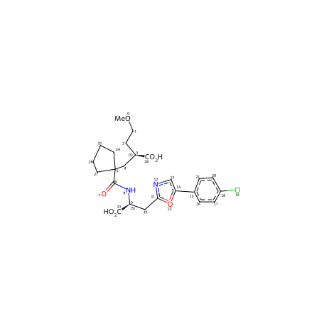 COCC[C@H](CC1(C(=O)N[C@@H](Cc2ncc(-c3ccc(Cl)cc3)o2)C(=O)O)CCCC1)C(=O)O